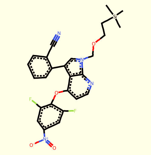 C[Si](C)(C)CCOCn1cc(-c2ccccc2C#N)c2c(Oc3c(F)cc([N+](=O)[O-])cc3F)ccnc21